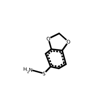 NSc1ccc2c(c1)OCO2